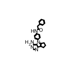 Nc1ncnc2c3c(n(-c4ccc(NC(=O)Cc5ccccc5)cc4)c12)CCC3